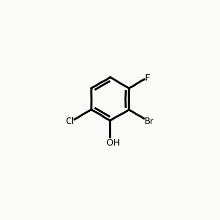 Oc1c(Cl)ccc(F)c1Br